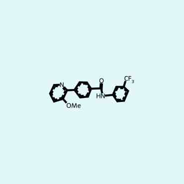 COc1cccnc1-c1ccc(C(=O)Nc2cccc(C(F)(F)F)c2)cc1